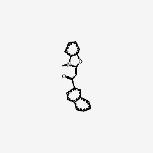 CN1C(=CC(=O)c2ccc3ccccc3c2)Oc2ccccc21